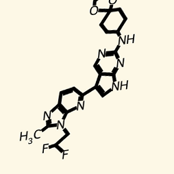 Cc1nc2ccc(-c3c[nH]c4nc(NC5CCC6(CC5)OCCO6)ncc34)nc2n1CC(F)F